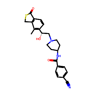 Cc1c([C@@H](O)CN2CCC(NC(=O)c3ccc(C#N)cc3)CC2)ccc2c1CSC2=O